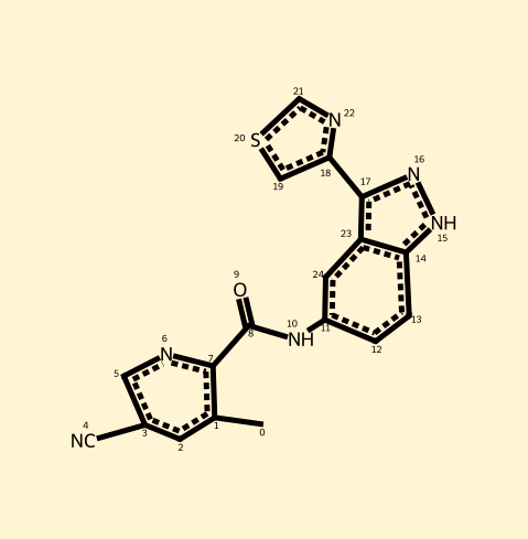 Cc1cc(C#N)cnc1C(=O)Nc1ccc2[nH]nc(-c3cscn3)c2c1